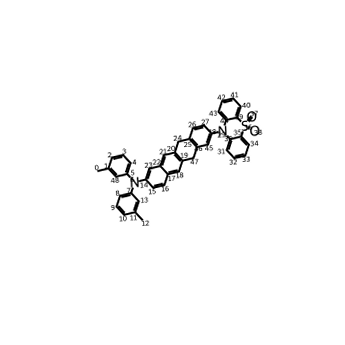 Cc1cccc(N(c2cccc(C)c2)c2ccc3cc4c(cc3c2)Cc2ccc(N3c5ccccc5S(=O)(=O)c5ccccc53)cc2C4)c1